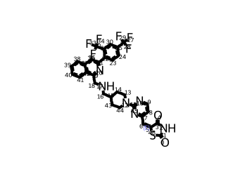 O=C1NC(=O)/C(=C\c2ccnc(N3CCC(CNCc4nc(-c5ccc(C(F)(F)F)cc5C(F)(F)F)cc5ccccc45)CC3)n2)S1